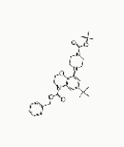 CC(C)(C)OC(=O)N1CCN(c2cc(C(C)(C)C)cc3c2OCCN3C(=O)OCc2ccccc2)CC1